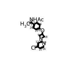 CC(=O)N[C@@H](C)c1ccc(OC2CN(c3cc(Cl)ccn3)C2)cc1